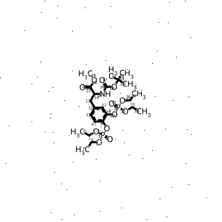 CCOP(=O)(OCC)Oc1ccc(CC(NC(=O)OC(C)(C)C)C(=O)OC)cc1OP(=O)(OCC)OCC